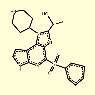 C[C@@H](O)c1nc2c(S(=O)(=O)c3ccccc3)nc3[nH]ccc3c2n1C1CCNCC1